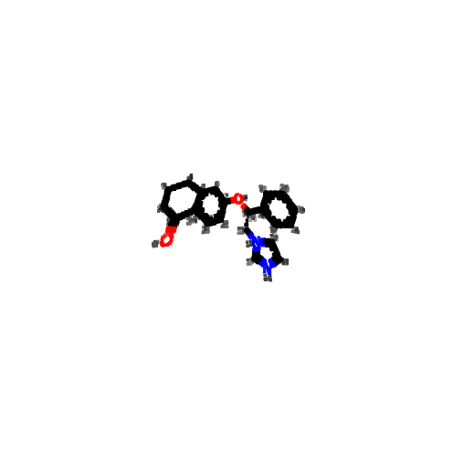 O=C1CCCc2cc(O[C@@H](Cn3ccnc3)c3ccccc3)ccc21